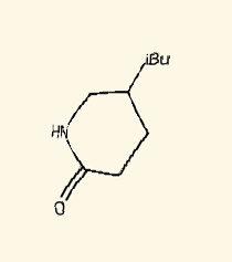 CCC(C)C1CCC(=O)NC1